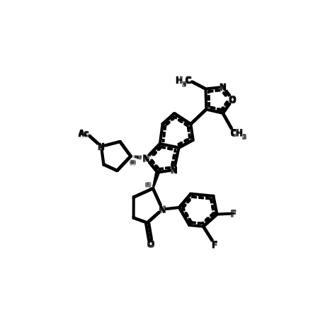 CC(=O)N1CC[C@@H](n2c([C@@H]3CCC(=O)N3c3ccc(F)c(F)c3)nc3cc(-c4c(C)noc4C)ccc32)C1